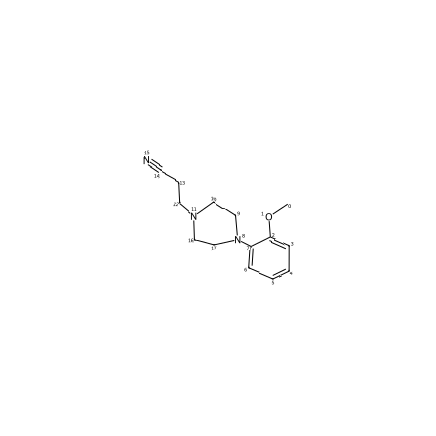 COc1ccccc1N1CCN(CCC#N)CC1